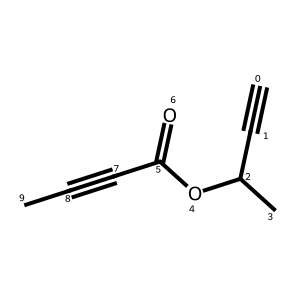 C#CC(C)OC(=O)C#CC